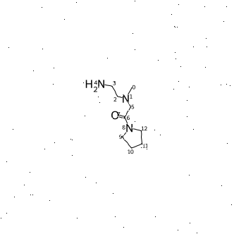 CN(CCN)CC(=O)N1CCCC1